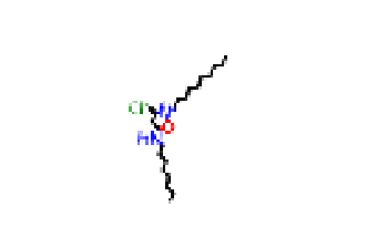 C=C(CC(=O)NCCCCCCCC)[N+](C)(C)CCCCCCCCCC.[Cl-]